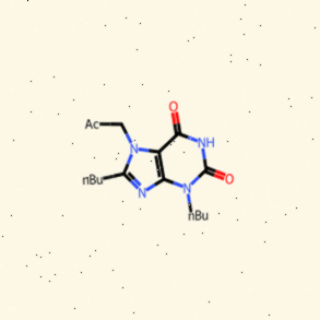 CCCCc1nc2c(c(=O)[nH]c(=O)n2CCCC)n1CC(C)=O